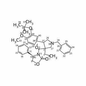 CCC1(C(=O)N2C(=O)OC[C@H]2c2ccccc2)CN(Cc2ccccc2)CC1c1ccc(OC)c(OC(C)(C)C)c1